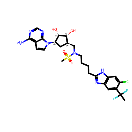 CC(F)(F)c1cc2nc(CCCCN(C[C@H]3C[C@@H](n4ccc5c(N)ncnc54)[C@H](O)[C@@H]3O)S(C)(=O)=O)[nH]c2cc1Cl